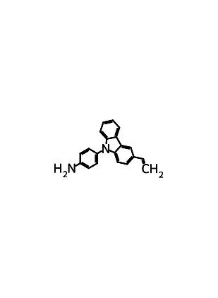 C=Cc1ccc2c(c1)c1ccccc1n2-c1ccc(N)cc1